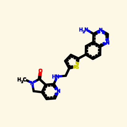 CN1Cc2ccnc(NCc3ccc(-c4ccc5ncnc(N)c5c4)s3)c2C1=O